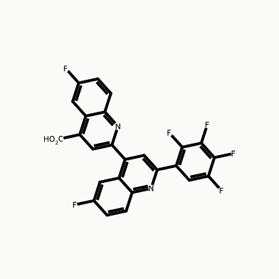 O=C(O)c1cc(-c2cc(-c3cc(F)c(F)c(F)c3F)nc3ccc(F)cc23)nc2ccc(F)cc12